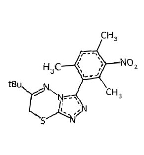 Cc1cc(C)c([N+](=O)[O-])c(C)c1-c1nnc2n1N=C(C(C)(C)C)CS2